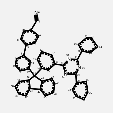 N#Cc1ccc(-c2cccc(C3(c4cccc(-c5nc(-c6ccccc6)nc(-c6ccccc6)n5)c4)c4ccccc4-c4ccccc43)c2)cc1